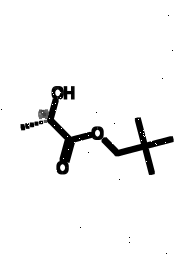 C[C@H](O)C(=O)OCC(C)(C)C